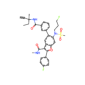 C#CC(C)(CC)NC(=O)c1cccc(-c2cc3c(C(=O)NC)c(-c4ccc(F)cc4)oc3cc2N(CCCF)S(C)(=O)=O)c1